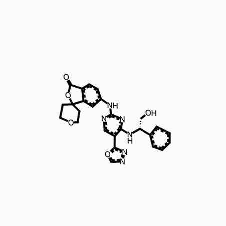 O=C1OC2(CCOCC2)c2cc(Nc3ncc(-c4nnco4)c(N[C@H](CO)c4ccccc4)n3)ccc21